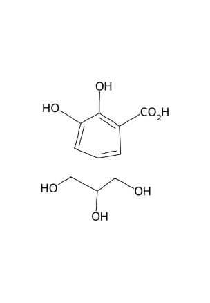 O=C(O)c1cccc(O)c1O.OCC(O)CO